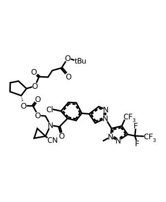 Cn1nc(C(F)(F)C(F)(F)F)c(C(F)(F)F)c1-n1cc(-c2ccc(Cl)c(C(=O)N(COC(=O)O[C@@H]3CCCC3OC(=O)CCC(=O)OC(C)(C)C)C3(C#N)CC3)c2)cn1